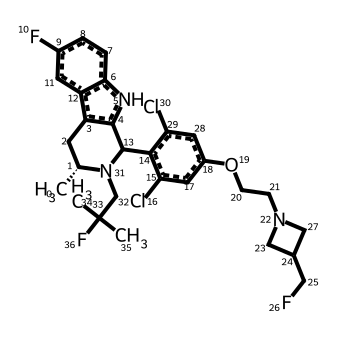 C[C@@H]1Cc2c([nH]c3ccc(F)cc23)C(c2c(Cl)cc(OCCN3CC(CF)C3)cc2Cl)N1CC(C)(C)F